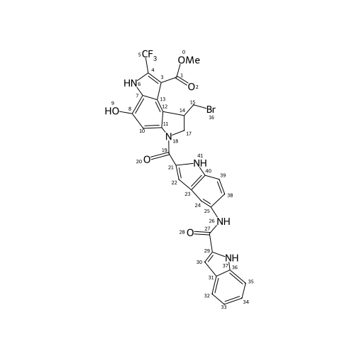 COC(=O)c1c(C(F)(F)F)[nH]c2c(O)cc3c(c12)C(CBr)CN3C(=O)c1cc2cc(NC(=O)c3cc4ccccc4[nH]3)ccc2[nH]1